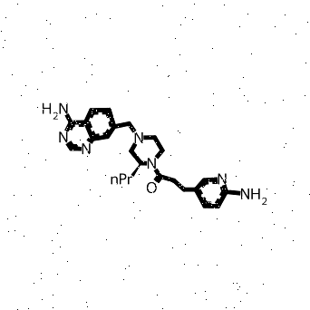 CCC[C@H]1CN(Cc2ccc3c(N)ncnc3c2)CCN1C(=O)CCc1ccc(N)nc1